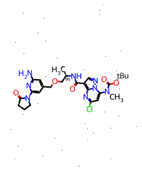 C[C@H](COCc1cc(N)nc(N2CCCC2=O)c1)NC(=O)c1cnn2c(N(C)C(=O)OC(C)(C)C)cc(Cl)nc12